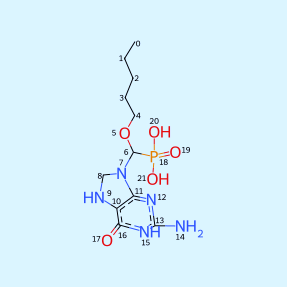 CCCCCOC(N1CNc2c1nc(N)[nH]c2=O)P(=O)(O)O